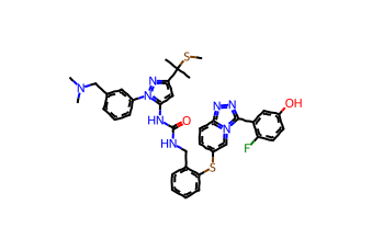 CSC(C)(C)c1cc(NC(=O)NCc2ccccc2Sc2ccc3nnc(-c4cc(O)ccc4F)n3c2)n(-c2cccc(CN(C)C)c2)n1